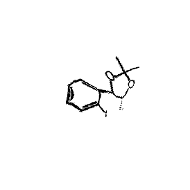 [CH2][C@H]1OC(C)(C)O[C@@H]1c1ccccc1I